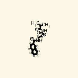 CC(C)C(=O)NS(=O)(=O)CCNC(=O)c1ccc2ccccc2c1